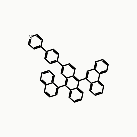 c1ccc2c(-c3c4ccccc4c(-c4cc5ccccc5c5ccccc45)c4ccc(-c5ccc(-c6ccncc6)cc5)cc34)cccc2c1